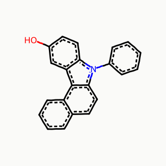 Oc1ccc2c(c1)c1c3ccccc3ccc1n2-c1ccccc1